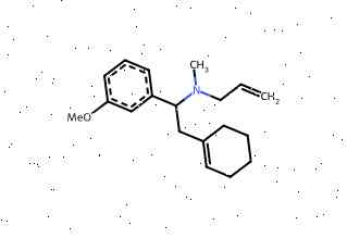 C=CCN(C)C(CC1=CCCCC1)c1cccc(OC)c1